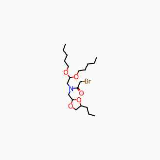 CCCCCOC(CN(CC1OCC(CCC)O1)C(=O)CBr)OCCCCC